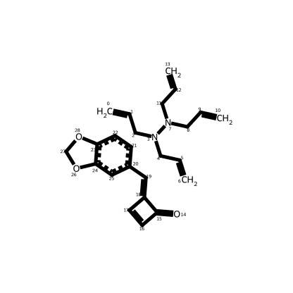 C=CCN(CC=C)N(CC=C)CC=C.O=C1C=CC1=Cc1ccc2c(c1)OCO2